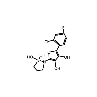 Oc1c(-c2ccc(F)cc2Cl)oc(N2CCCS2(O)O)c1O